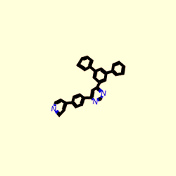 c1ccc(-c2cc(-c3ccccc3)cc(-c3cc(-c4ccc(-c5ccncc5)cc4)ncn3)c2)cc1